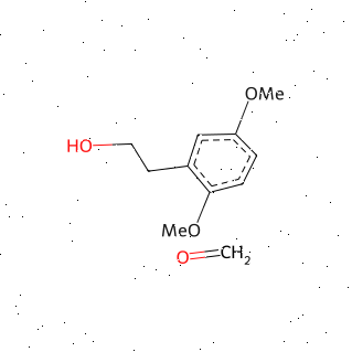 C=O.COc1ccc(OC)c(CCO)c1